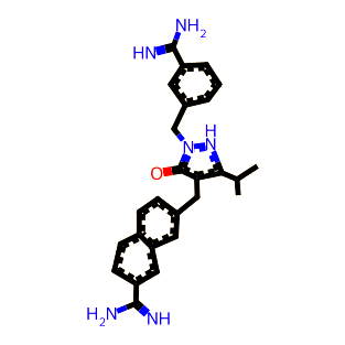 CC(C)c1[nH]n(Cc2cccc(C(=N)N)c2)c(=O)c1Cc1ccc2ccc(C(=N)N)cc2c1